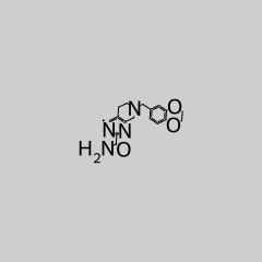 NC(=O)c1n[c]c2c(n1)CN(Cc1ccc3c(c1)OCCO3)CC2